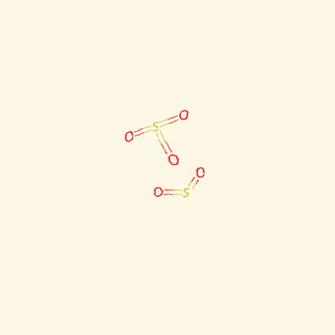 O=S(=O)=O.O=S=O